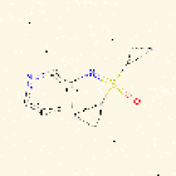 O=S(=Nc1[c]nccc1)(C1CC1)C1CC1